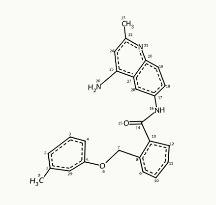 Cc1cccc(OCc2ccccc2C(=O)Nc2ccc3nc(C)cc(N)c3c2)c1